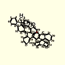 CC1(C)c2ccccc2-c2ccc(N(c3ccccc3-c3ccc4c(c3)C3(c5ccccc5S4)c4ccccc4-c4ccccc43)c3cccc4oc5ccccc5c34)cc21